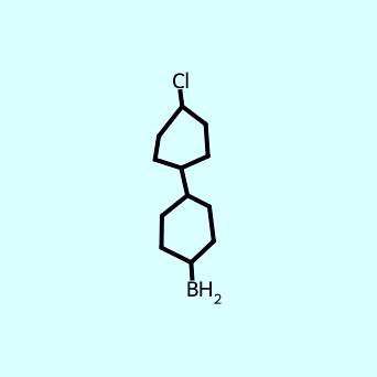 BC1CCC(C2CCC(Cl)CC2)CC1